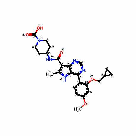 COc1ccc(-c2ncnc3c(C(=O)NC4CCN(C(=O)O)CC4)c(C)[nH]c23)c(OCC2CC2)c1